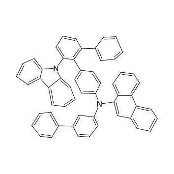 c1ccc(-c2cccc(N(c3ccc(-c4c(-c5ccccc5)cccc4-n4c5ccccc5c5ccccc54)cc3)c3cc4ccccc4c4ccccc34)c2)cc1